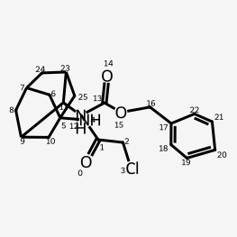 O=C(CCl)NC12CC3CC(C1)C(NC(=O)OCc1ccccc1)C(C3)C2